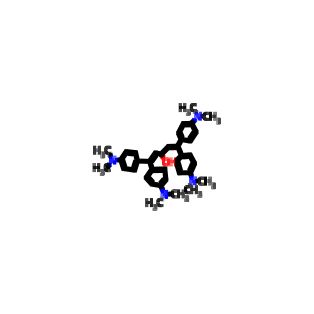 CN(C)c1ccc(C(=CC(O)C=C(c2ccc(N(C)C)cc2)c2ccc(N(C)C)cc2)c2ccc(N(C)C)cc2)cc1